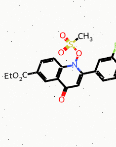 CCOC(=O)c1ccc2c(c1)c(=O)cc(-c1cccc(F)c1)n2OS(C)(=O)=O